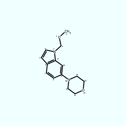 COCn1ccc2ccc(N3CCOCC3)cc21